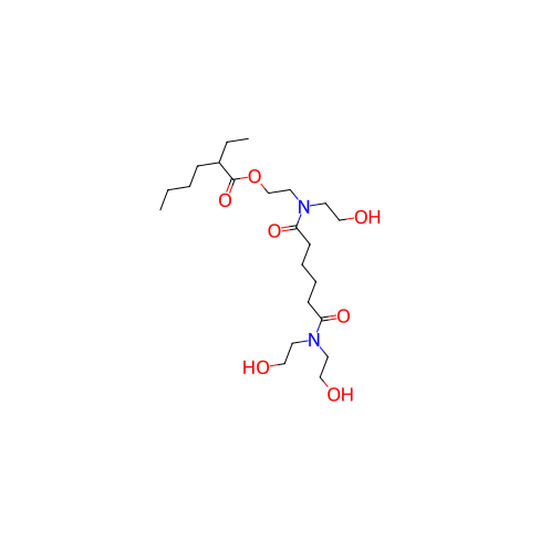 CCCCC(CC)C(=O)OCCN(CCO)C(=O)CCCCC(=O)N(CCO)CCO